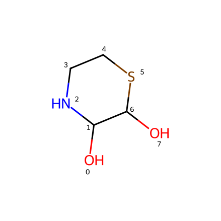 OC1NCCSC1O